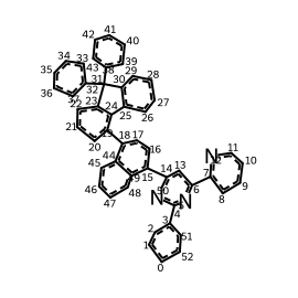 c1ccc(-c2nc(-c3ccccn3)cc(-c3ccc(-c4cccc5c4-c4ccccc4C5(c4ccccc4)c4ccccc4)c4ccccc34)n2)cc1